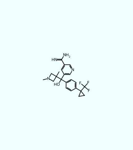 CN1CC(C)(C(O)(c2ccc(C3(C(F)(F)F)CC3)cc2)c2cncc(C(=N)N)c2)C1